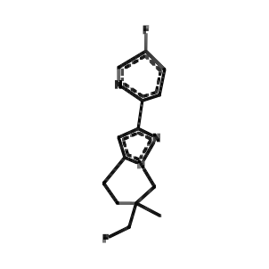 CC1(CF)CCc2cc(-c3ccc(F)cn3)nn2C1